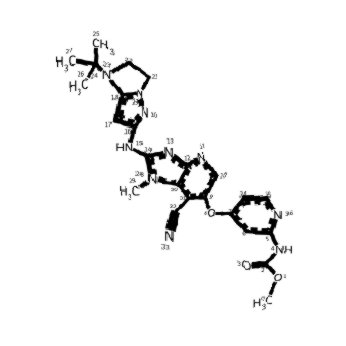 COC(=O)Nc1cc(Oc2cnc3nc(Nc4cc5n(n4)CCN5C(C)(C)C)n(C)c3c2C#N)ccn1